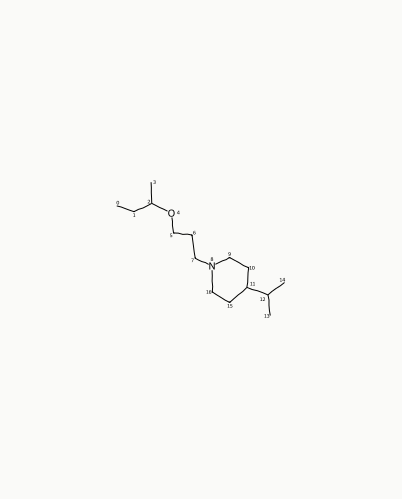 CCC(C)OCCCN1CCC(C(C)C)CC1